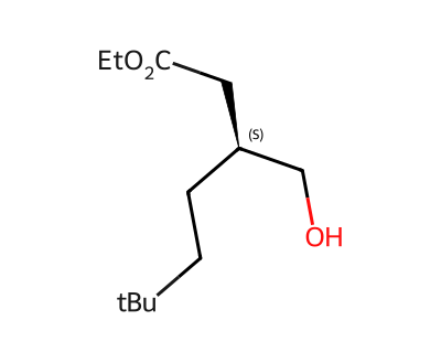 CCOC(=O)C[C@@H](CO)CCC(C)(C)C